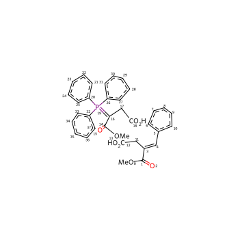 COC(=O)/C(=C/c1ccccc1)CC(=O)O.COC(=O)C(CC(=O)O)=P(c1ccccc1)(c1ccccc1)c1ccccc1